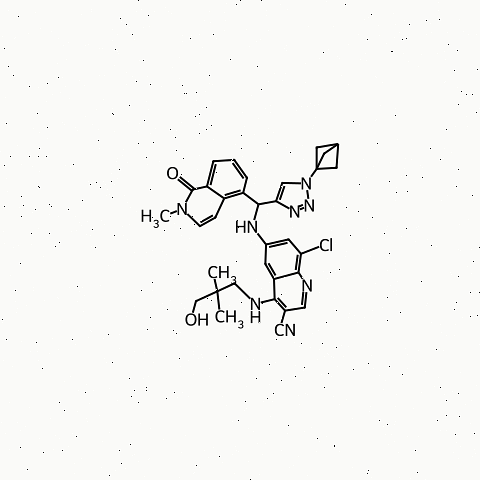 Cn1ccc2c(C(Nc3cc(Cl)c4ncc(C#N)c(NCC(C)(C)CO)c4c3)c3cn(C45CC(C4)C5)nn3)cccc2c1=O